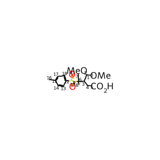 COC(OC)C(CC(=O)O)C(C)(C)S(=O)(=O)c1ccc(C)cc1